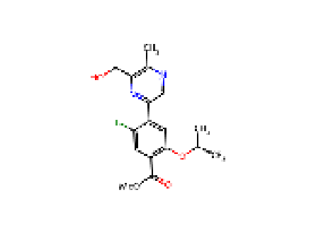 COC(=O)c1cc(F)c(-c2cnc(C)c(CO)n2)cc1O[C@@H](C)C(F)(F)F